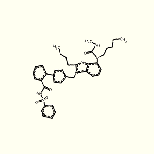 CCCCCN(C(=O)NC)c1cccc2c1nc(CCCC)n2Cc1ccc(-c2ccccc2C(=O)NS(=O)(=O)c2ccccc2)cc1